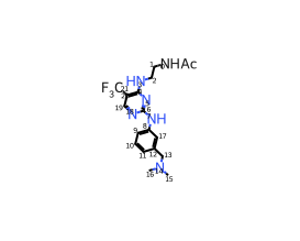 CC(=O)NCCNc1nc(Nc2cccc(CN(C)C)c2)ncc1C(F)(F)F